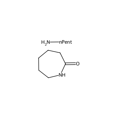 CCCCCN.O=C1CCCCCN1